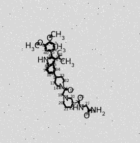 COc1ccc(-c2[nH]c3ccc(C4CCN(C(=O)CN5CCC[C@@H](C(=O)NCC(N)=O)C5)CC4)cc3c2C(C)C)cc1OC